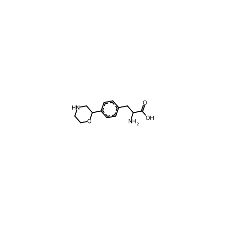 NC(Cc1ccc(C2CNCCO2)cc1)C(=O)O